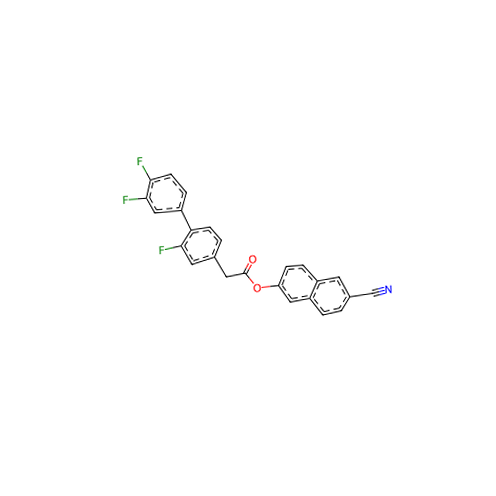 N#Cc1ccc2cc(OC(=O)Cc3ccc(-c4ccc(F)c(F)c4)c(F)c3)ccc2c1